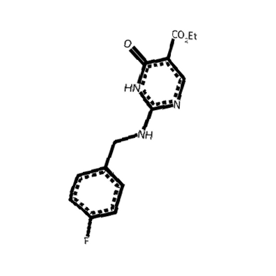 CCOC(=O)c1cnc(NCc2ccc(F)cc2)[nH]c1=O